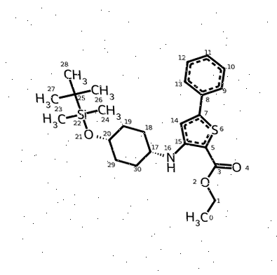 CCOC(=O)c1sc(-c2ccccc2)cc1N[C@H]1CC[C@@H](O[Si](C)(C)C(C)(C)C)CC1